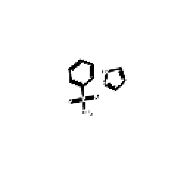 NS(=O)(=O)c1ccccc1.c1nc[nH]n1